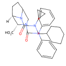 O=C(O)[C@@H]1[C@H]2CCC(CN1C(=O)N(c1ccccc1)c1ccccc1)N2C(=O)N(CC1CCCCC1)C1CC1